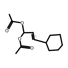 CC(=O)OC(/C=C/C1CCCCC1)OC(C)=O